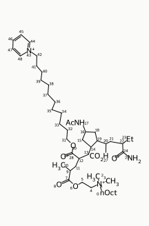 CCCCCCCC[N+](C)(C)CCOC(=O)C(C)CC(CC1CC(NC(C)=O)CC1C(CC(CC)C(N)=O)C(=O)O)C(=O)OCCCCCCCCCCCC[n+]1ccccc1